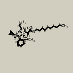 CCCCCCCCCCOC(=O)C(=O)N(C)P(=O)(SCCC)N(c1ccccc1OC)S(=O)(=O)C1CC1